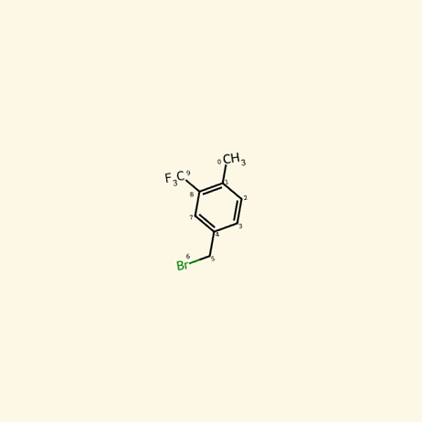 Cc1ccc(CBr)cc1C(F)(F)F